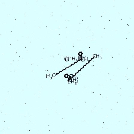 CCCCCCCCCCCCCCCCCC[N+](C)(C)C(CC)c1ccccc1.CCCCCCCCCCCCCCCCCC[N+](C)(C)Cc1ccccc1.[Cl-].[Cl-]